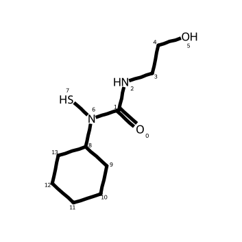 O=C(NCCO)N(S)C1CCCCC1